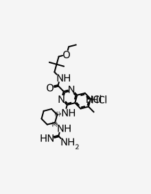 CCOCC(C)(C)CNC(=O)c1nc(N[C@H]2CCCC[C@H]2NC(=N)N)c2cc(C)ccc2n1.Cl.Cl